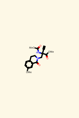 C#CC(CN1CCc2ccc(OC)cc2C1=O)(NC(=O)OC)C(=O)OC